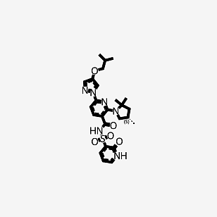 CC(C)COc1cnn(-c2ccc(C(=O)NS(=O)(=O)c3ccc[nH]c3=O)c(N3C[C@@H](C)CC3(C)C)n2)c1